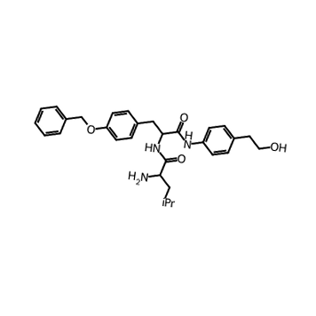 CC(C)CC(N)C(=O)NC(Cc1ccc(OCc2ccccc2)cc1)C(=O)Nc1ccc(CCO)cc1